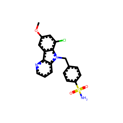 COc1cc(Cl)c2c(c1)c1ncccc1n2Cc1ccc(S(N)(=O)=O)cc1